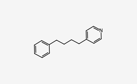 c1ccc(CCCCc2ccncc2)cc1